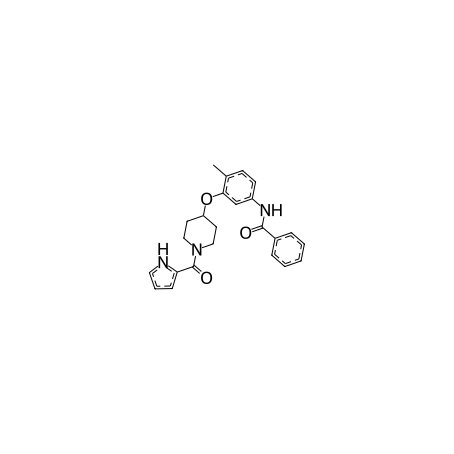 Cc1ccc(NC(=O)c2ccccc2)cc1OC1CCN(C(=O)c2ccc[nH]2)CC1